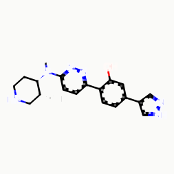 C[C@@H]1CNCC[C@H]1N(C)c1ccc(-c2ccc(-c3cn[nH]c3)cc2O)nn1